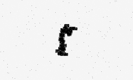 COC(=O)N[C@H](C(=O)N1CCC[C@H]1c1ncc(-c2ccc3cc(-c4ccc(-c5cnc([C@@H]6C[C@@H](C#N)CN6C(=O)[C@H](NC(=O)OC)c6ccccc6)[nH]5)cc4)ccc3c2)[nH]1)C(C)C